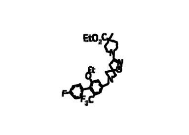 CCOC(=O)C1(C)CCN(C2=NOC3(C2)CN(Cc2cc(OCC)c(-c4ccc(F)cc4)c(C(F)(F)F)c2)C3)CC1